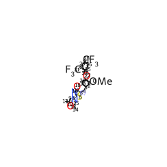 COc1cc(/C=C2/SC(N3CC(C)OC(C)C3)=NC2=O)ccc1OCc1ccc(C(F)(F)F)cc1C(F)(F)F